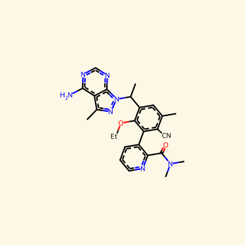 CCOc1c(C(C)n2nc(C)c3c(N)ncnc32)cc(C)c(C#N)c1-c1cccnc1C(=O)N(C)C